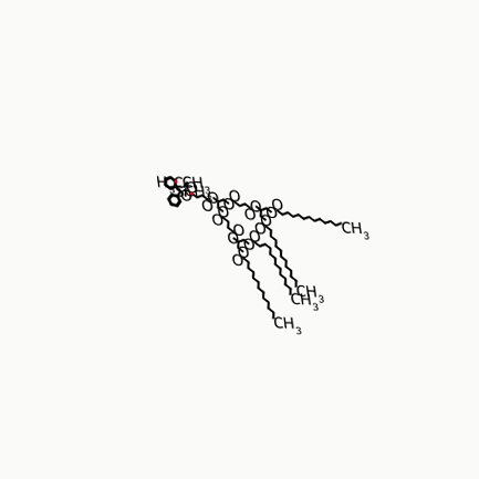 CCCCCCCCCCCCCC(=O)OCC(COC(=O)CCCCCCCCCCCCC)OC(=O)CCC(=O)OCC(COC(=O)CCC(=O)OC(COC(=O)CCCCCCCCCCCCC)COC(=O)CCCCCCCCCCCCC)OC(=O)CCC(=O)O[Si](c1ccccc1)(c1ccccc1)C(C)(C)C